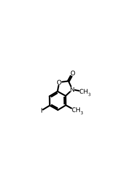 Cc1cc(I)cc2oc(=O)n(C)c12